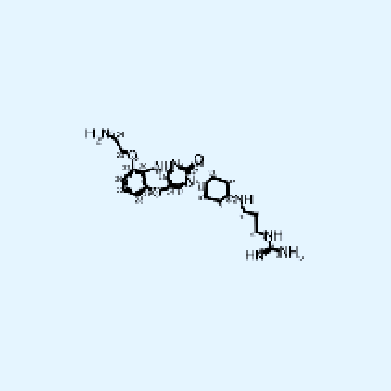 N=C(N)NCCCN[C@H]1CC[C@H](n2cc3c(nc2=O)Nc2c(OCCN)cccc2O3)CC1